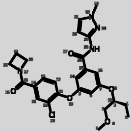 CC[C@@H](COC)Oc1cc(Oc2ccc(C(=O)N3CCC3)cc2Cl)cc(C(=O)Nc2ccn(C)n2)c1